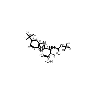 C[C@@H](C(=O)O)[C@H](NC(=O)OC(C)(C)C)c1nc2cc(C(C)(C)C)ccc2[nH]1